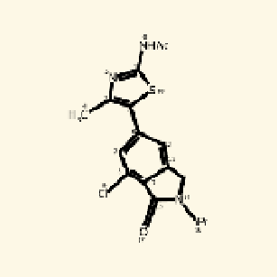 CC(=O)Nc1nc(C)c(-c2cc(Cl)c3c(c2)CN(C(C)C)C3=O)s1